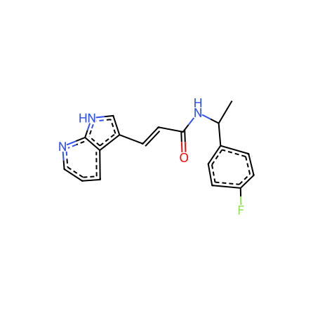 CC(NC(=O)/C=C/c1c[nH]c2ncccc12)c1ccc(F)cc1